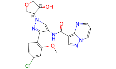 COc1cc(Cl)ccc1-c1nn([C@@H]2COC[C@H]2O)cc1NC(=O)c1cnn2cccnc12